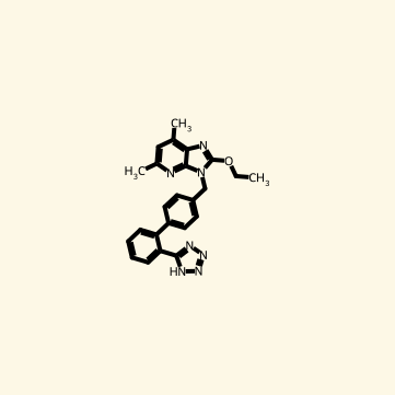 CCOc1nc2c(C)cc(C)nc2n1Cc1ccc(-c2ccccc2-c2nnn[nH]2)cc1